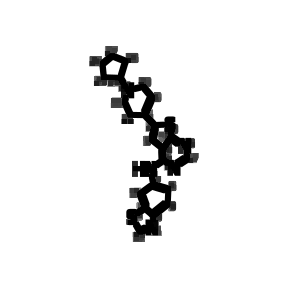 C1=C(c2cc3c(Nc4ccc5ncsc5c4)ncnc3s2)CCN(C2CCCC2)C1